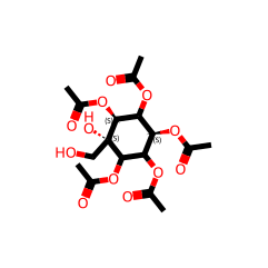 CC(=O)OC1C(OC(C)=O)[C@@](O)(CO)[C@@H](OC(C)=O)C(OC(C)=O)[C@H]1OC(C)=O